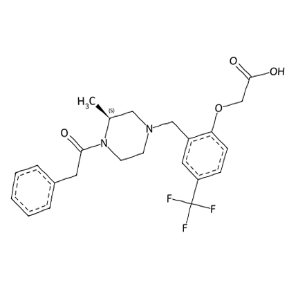 C[C@H]1CN(Cc2cc(C(F)(F)F)ccc2OCC(=O)O)CCN1C(=O)Cc1ccccc1